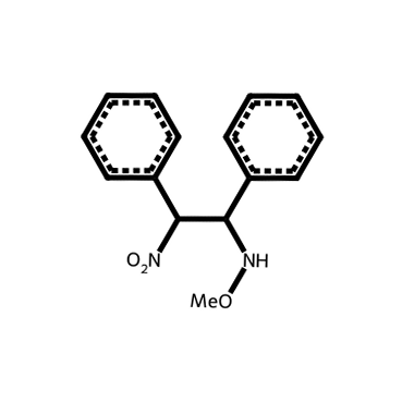 CONC(c1ccccc1)C(c1ccccc1)[N+](=O)[O-]